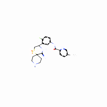 COc1ccc(C(=O)Nc2ccc(F)c([C@]3(C)CS(=O)(=O)C4(CCN(C)CC4)C(=N)N3)c2)nc1